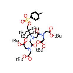 Cc1ccc(S(=O)(=O)OCC(C(C)(C)C)(C(C)(C)C)C(N(CC(=O)N(CC(=O)OC(C)(C)C)CC(=O)OC(C)(C)C)CC(=O)N(CC(=O)OC(C)(C)C)CC(=O)OC(C)(C)C)(C(C)(C)C)C(C)(C)C)cc1